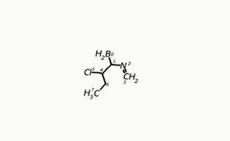 BC(N=C)C(Cl)CC